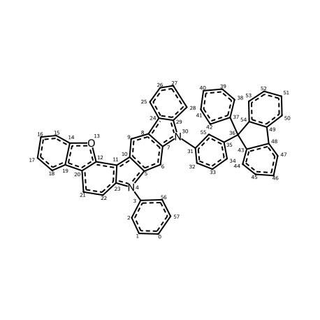 c1ccc(-n2c3cc4c(cc3c3c5oc6ccccc6c5ccc32)c2ccccc2n4-c2cccc(C3(c4ccccc4)c4ccccc4-c4ccccc43)c2)cc1